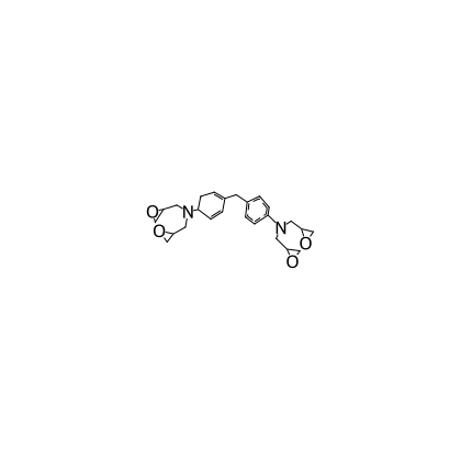 C1=CC(N(CC2CO2)CC2CO2)CC=C1Cc1ccc(N(CC2CO2)CC2CO2)cc1